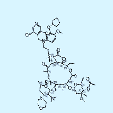 CC[C@H]1OC(=O)[C@H](C)[C@@H](O[C@H]2C[C@@](C)(OC)[C@@H](OC(C)=O)[C@H](C)O2)[C@H](C)[C@@H](O[C@@H]2O[C@H](C)C[C@@H](N3CCOCC3)[C@@H]2N(C)C)[C@](C)(OC)C[C@@H](C)C(=O)[C@H](C)[C@H]2[C@H](SCCN(Cc3c(Cl)cncc3Cl)c3ccc(OC)c(OC4CCCC4)c3)C(=O)O[C@@]21C